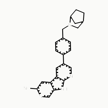 N#Cc1cc2c(cn1)[nH]c1ncc(-c3ccc(CN4CC5CCC4C5)cc3)cc12